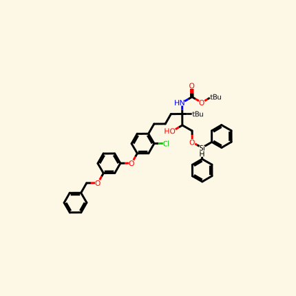 CC(C)(C)OC(=O)NC(CCCc1ccc(Oc2cccc(OCc3ccccc3)c2)cc1Cl)(C(O)CO[SiH](c1ccccc1)c1ccccc1)C(C)(C)C